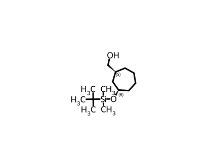 CC(C)(C)[Si](C)(C)O[C@@H]1CCCC[C@H](CO)C1